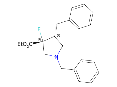 CCOC(=O)[C@]1(F)CN(Cc2ccccc2)C[C@H]1Cc1ccccc1